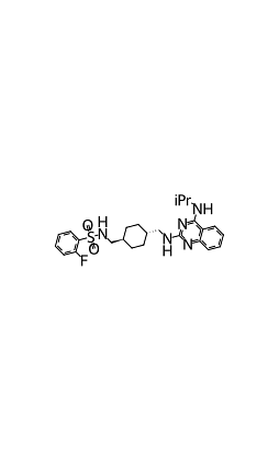 CC(C)Nc1nc(NC[C@H]2CC[C@H](CNS(=O)(=O)c3ccccc3F)CC2)nc2ccccc12